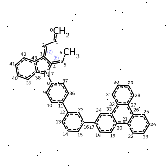 C=C/C=c1\c(=C/C)n(-c2ccc(-c3cccc(-c4ccc5c6ccccc6c6ccccc6c5c4)c3)cc2)c2ccccc12